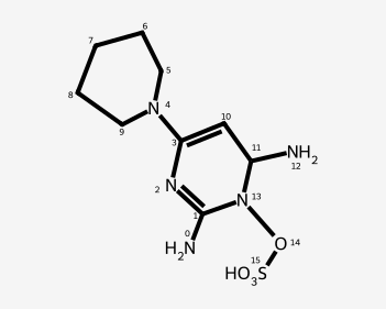 NC1=NC(N2CCCCC2)=CC(N)N1OS(=O)(=O)O